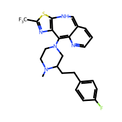 CN1CCN(C2=c3ncccc3=CNc3sc(C(F)(F)F)nc32)CC1CCc1ccc(F)cc1